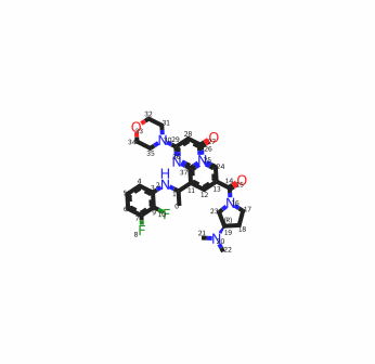 CC(Nc1cccc(F)c1F)c1cc(C(=O)N2CC[C@@H](N(C)C)C2)cn2c(=O)cc(N3CCOCC3)nc12